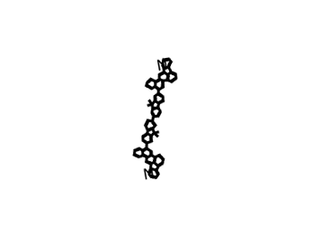 CC1(C)c2cc(-c3ccc4c(c3)C(C)(C)c3cc(-c5cc6c7cccc8c7c(cc6c6ccccc56)-c5ncccc5-8)ccc3-4)ccc2-c2ccc(-c3cc4c5cccc6c5c(cc4c4ccccc34)-c3ncccc3-6)cc21